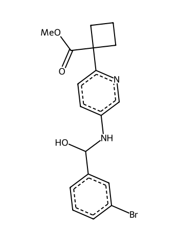 COC(=O)C1(c2ccc(NC(O)c3cccc(Br)c3)cn2)CCC1